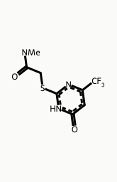 CNC(=O)CSc1nc(C(F)(F)F)cc(=O)[nH]1